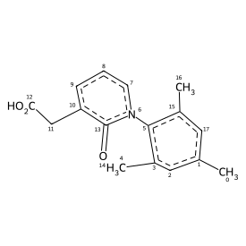 Cc1cc(C)c(-n2cccc(CC(=O)O)c2=O)c(C)c1